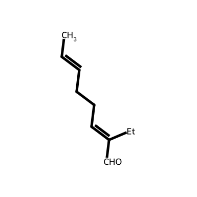 CC=CCCC=C(C=O)CC